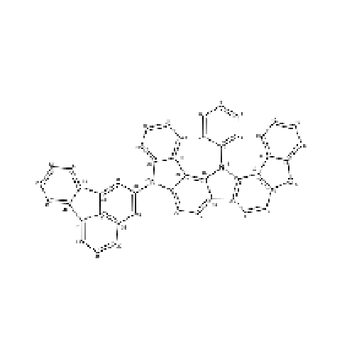 c1ccc(-n2c3c(ccc4oc5ccccc5c43)c3ccc4c(c5ccccc5n4-c4cc5c6c(cccc6c4)-c4ccccc4-5)c32)cc1